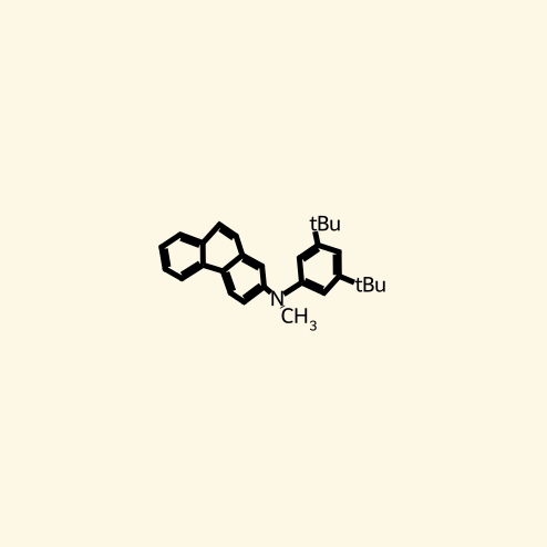 CN(c1cc(C(C)(C)C)cc(C(C)(C)C)c1)c1ccc2c(ccc3ccccc32)c1